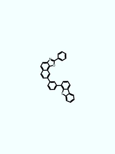 c1ccc(-c2nc3ccc4ccc(-c5cccc(-c6cccc7c6sc6ccccc67)c5)cc4c3o2)cc1